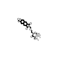 COc1ccc2cc3c(cc2c1)C(=O)N(COCCN(OC)C(=O)N(C)C)C3=O